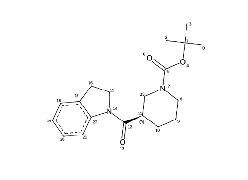 CC(C)(C)OC(=O)N1CCC[C@@H](C(=O)N2CCc3ccccc32)C1